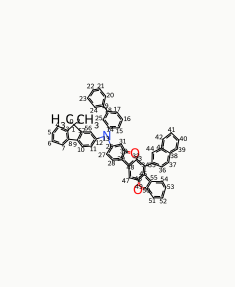 CC1(C)c2ccccc2-c2ccc(N(c3cccc(-c4ccccc4)c3)c3ccc4c(c3)oc3c(-c5ccc6ccccc6c5)c5c(cc34)oc3ccccc35)cc21